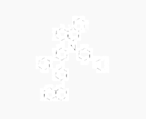 C1=CC(c2ccc(N(c3ccc(-c4ccccc4)c(-c4ccc(-c5cccc6ccccc56)cc4)c3)c3cc4ccccc4c4ccccc34)cc2)=CCC1